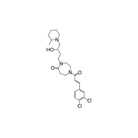 CC1CCCCN1CC(O)CCN1CCN(C(=O)/C=C/c2ccc(Cl)c(Cl)c2)CCC1=O